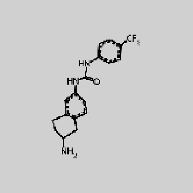 NC1CCc2cc(NC(=O)Nc3ccc(C(F)(F)F)cc3)ccc2C1